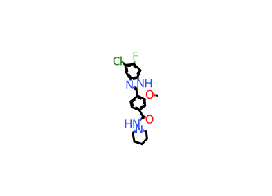 COc1cc(C(=O)NN2CCCCC2)ccc1-c1nc2cc(Cl)c(F)cc2[nH]1